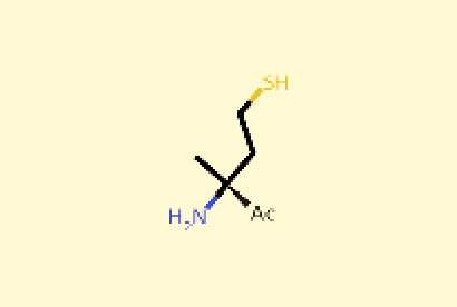 CC(=O)[C@](C)(N)CCS